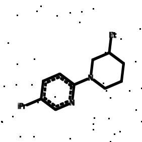 CCC1CCCN(c2ccc(C(C)C)cn2)C1